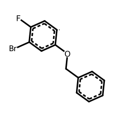 Fc1c[c]c(OCc2ccccc2)cc1Br